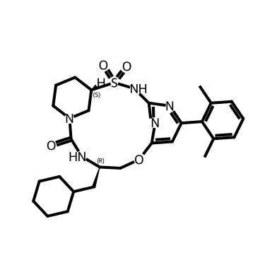 Cc1cccc(C)c1-c1cc2nc(n1)NS(=O)(=O)[C@H]1CCCN(C1)C(=O)N[C@H](CC1CCCCC1)CO2